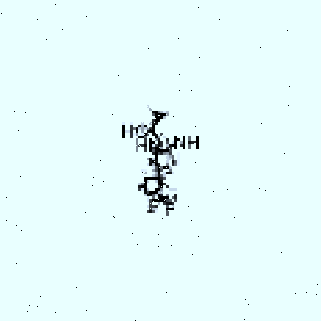 N=Cc1ncc(-c2cccc(C(F)(F)F)c2)cc1NCC(O)C1CC1